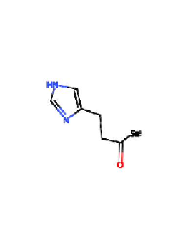 O=[C]([Sn])CCc1c[nH]cn1